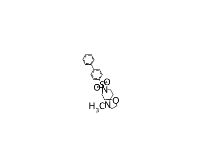 CN1CCOC12CCN(S(=O)(=O)c1ccc(-c3ccccc3)cc1)CC2